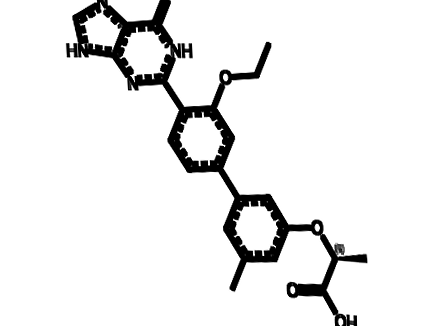 CCOc1cc(-c2cc(C)cc(O[C@@H](C)C(=O)O)c2)ccc1-c1nc2[nH]cnc2c(=O)[nH]1